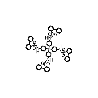 O=P1(CNc2ccc(C(c3ccc(NCP4(=O)Oc5ccccc5-c5ccccc54)cc3)(c3ccc(NCP4(=O)Oc5ccccc5-c5ccccc54)cc3)c3ccc(NCP4(=O)Oc5ccccc5-c5ccccc54)cc3)cc2)Oc2ccccc2-c2ccccc21